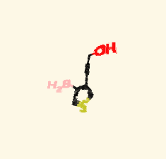 Bc1cscc1C#CCO